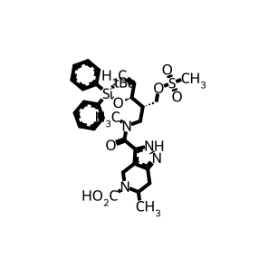 C=C[C@@H](O[Si](c1ccccc1)(c1ccccc1)C(C)(C)C)[C@H](COS(C)(=O)=O)CN(C)C(=O)c1[nH]nc2c1CN(C(=O)O)C(C)C2